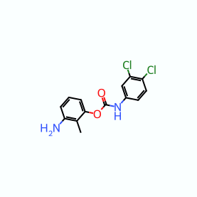 Cc1c(N)cccc1OC(=O)Nc1ccc(Cl)c(Cl)c1